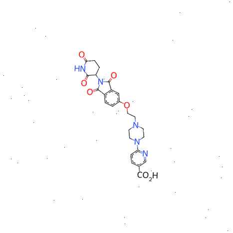 O=C1CCC(N2C(=O)c3ccc(OCCN4CCN(c5ccc(C(=O)O)cn5)CC4)cc3C2=O)C(=O)N1